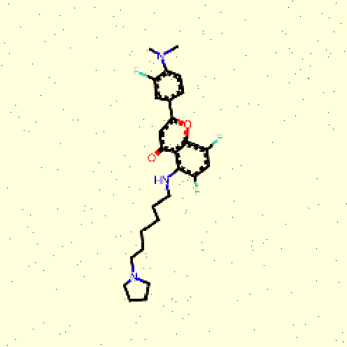 CN(C)c1ccc(-c2cc(=O)c3c(NCCCCCCN4CCCC4)c(F)cc(F)c3o2)cc1F